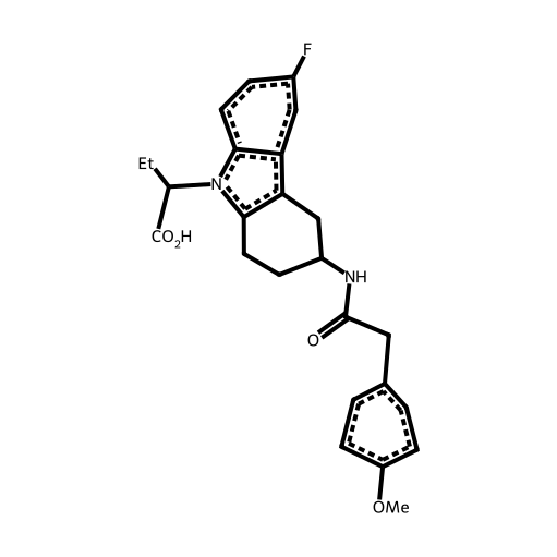 CCC(C(=O)O)n1c2c(c3cc(F)ccc31)CC(NC(=O)Cc1ccc(OC)cc1)CC2